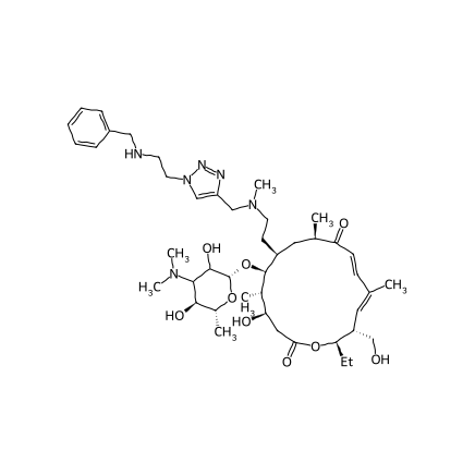 CC[C@H]1OC(=O)C[C@@H](O)[C@H](C)[C@@H](O[C@@H]2O[C@H](C)[C@@H](O)C(N(C)C)C2O)[C@@H](CCN(C)Cc2cn(CCNCc3ccccc3)nn2)C[C@@H](C)C(=O)/C=C/C(C)=C/[C@@H]1CO